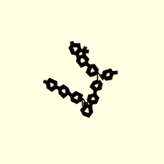 Cc1ccc(-c2ccc(-c3ccc(-n4c5ccccc5c5ccc(-c6ccc(N(c7ccc(C)cc7)c7ccc(-c8ccc9c(c8)C(C)(C)c8cc(C)ccc8-9)cc7)cc6)cc54)cc3)cc2)cc1